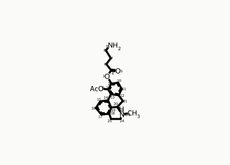 CC(=O)Oc1c(OC(=O)CCCN)ccc2c1-c1cccc3c1[C@@H](C2)N(C)CC3